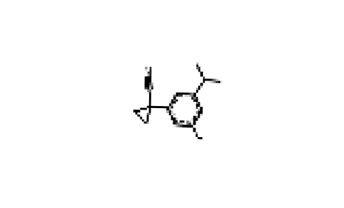 CC(C)c1cc(F)cc(C2(C#N)CC2)c1